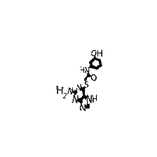 Nc1nc(SCC(=O)Nc2cccc(O)c2)c2[nH]cnc2n1